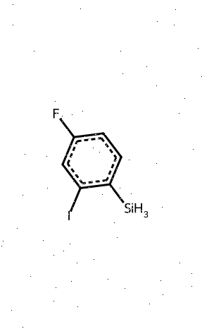 Fc1ccc([SiH3])c(I)c1